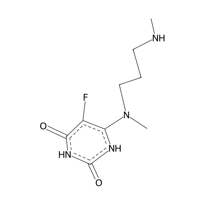 CNCCCN(C)c1[nH]c(=O)[nH]c(=O)c1F